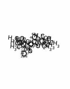 C=C(C)C(=O)N1C(C)(C)CC(N(C(=O)c2cccc(C(=O)N(C3CCCCC3)C3CC(C)(C)N(C(=O)C(=C)C)C(C)(C)C3)c2)C2CCCCC2)CC1(C)C